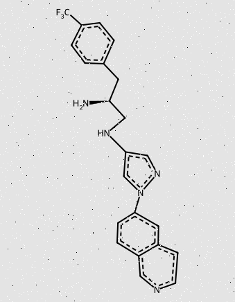 N[C@H](CNc1cnn(-c2ccc3cnccc3c2)c1)Cc1ccc(C(F)(F)F)cc1